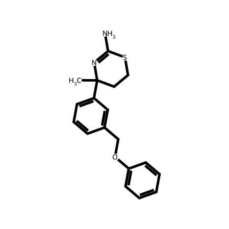 CC1(c2cccc(COc3ccccc3)c2)CCSC(N)=N1